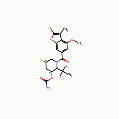 COc1cc(C(=O)N2C[C@H](F)C[C@@H](OC(N)=O)C2C(C)(C)C)cc2oc(Cl)c(C)c12